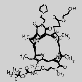 CCC1=C(C)c2cc3[nH]c(cc4nc(c5c6[nH]c(cc1n2)c(C)c6C(=O)N(CCN1CCOCC1)C5=O)[C@@H](CCC(=O)OCCO)[C@@H]4C)c(C)c3C(=O)N(C)CCOCCNC(=O)OC(C)(C)C